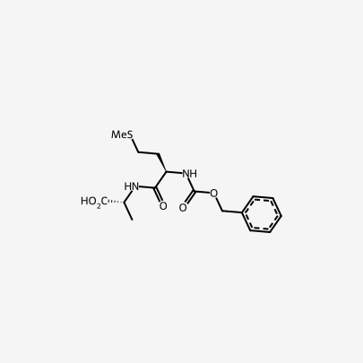 CSCC[C@@H](NC(=O)OCc1ccccc1)C(=O)N[C@H](C)C(=O)O